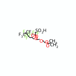 C=C(C)C(=O)OCCOCCOCC(CC(F)(F)C(F)(F)C(F)(C(F)(F)F)C(F)(F)F)OC(=O)C(F)(F)S(=O)(=O)O